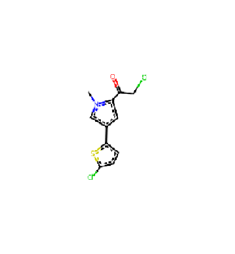 Cn1cc(-c2ccc(Cl)s2)cc1C(=O)CCl